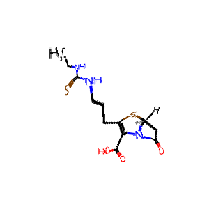 CCNC(=S)NCCCC1=C(C(=O)O)N2C(=O)C[C@H]2S1